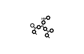 Cc1cccc(N(c2ccccc2)c2ccc(N(c3ccc(Nc4ccccc4)cc3)c3ccc(N(c4cccc(C)c4)C4CCCCC4)cc3)cc2)c1